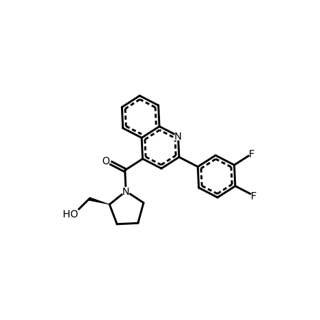 O=C(c1cc(-c2ccc(F)c(F)c2)nc2ccccc12)N1CCC[C@H]1CO